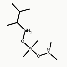 CC(C)C(C)[SiH2]O[Si](C)(C)O[SiH](C)C